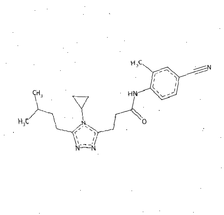 Cc1cc(C#N)ccc1NC(=O)CCc1nnc(CCC(C)C)n1C1CC1